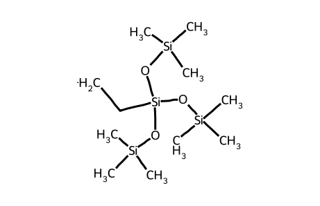 [CH2]C[Si](O[Si](C)(C)C)(O[Si](C)(C)C)O[Si](C)(C)C